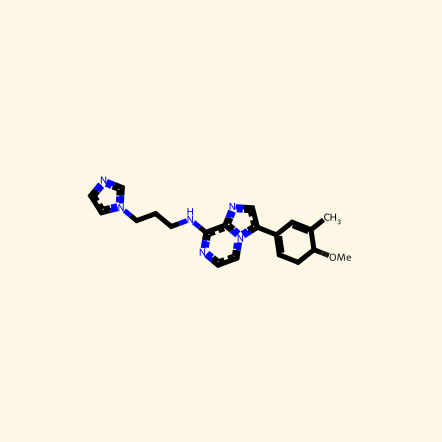 COC1CC=C(c2cnc3c(NCCCn4ccnc4)nccn23)C=C1C